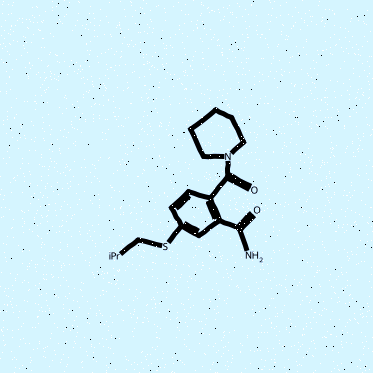 CC(C)CSc1ccc(C(=O)N2CCCCC2)c(C(N)=O)c1